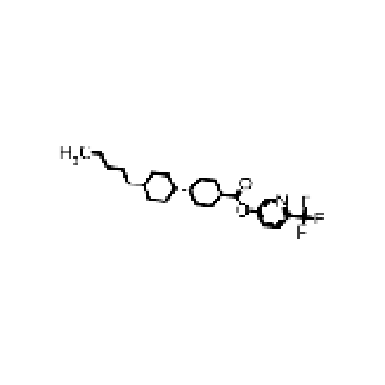 CCCCC[C@H]1CC[C@H](C2CCC(C(=O)Oc3ccc(C(F)(F)F)nc3)CC2)CC1